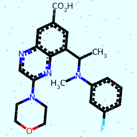 CC(c1cc(C(=O)O)cc2ncc(N3CCOCC3)nc12)N(C)c1cccc(F)c1